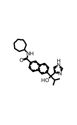 CC(C)C(O)(c1ccc2cc(C(=O)NC3CCCCCC3)ccc2c1)c1c[nH]cn1